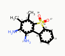 Cc1c(C)c2c(c(N)c1N)-c1ccccc1S2(=O)=O